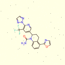 NC(=O)N1c2cccc(-c3ncco3)c2CCC1c1cnc(-n2nccn2)c(C(F)(F)F)c1